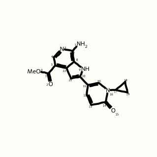 COC(=O)c1cnc(N)c2[nH]c(-c3ccc(=O)n(C4CC4)c3)cc12